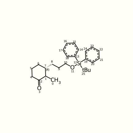 CC1C(=O)CCC[C@@H]1CCCO[Si](c1ccccc1)(c1ccccc1)C(C)(C)C